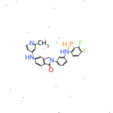 Cc1cc(Nc2ccc3c(c2)CN(c2cccc(Nc4ccc(F)c(F)c4P)c2)C3=O)ccn1